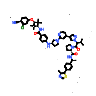 Cc1ncsc1-c1ccc([C@H](C)NC(=O)[C@@H]2CCCN2C(=O)C(C(C)C)n2cc(-c3ccnc(N4CC[C@@H](Nc5ccc(C(=O)N[C@H]6C(C)(C)[C@H](Oc7ccc(C#N)c(Cl)c7)C6(C)C)cc5)C4)c3)cn2)cc1